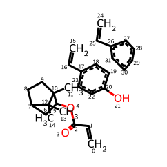 C=CC(=O)OC1CC2CCC1(C)C2(C)C.C=Cc1ccc(O)cc1.C=Cc1ccccc1